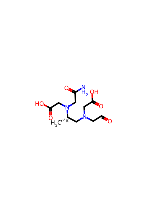 C[C@@H](CN(CC=O)CC(=O)O)N(CC(N)=O)CC(=O)O